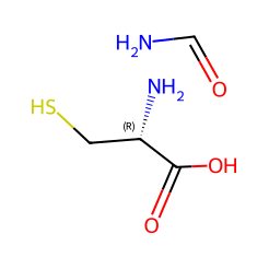 NC=O.N[C@@H](CS)C(=O)O